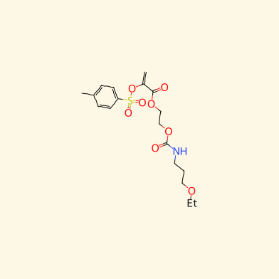 C=C(OS(=O)(=O)c1ccc(C)cc1)C(=O)OCCOC(=O)NCCCOCC